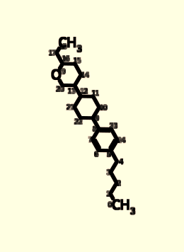 CCCCCc1ccc(C2CCC(C3CCC(CC)OC3)CC2)cc1